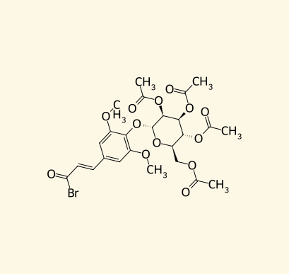 COc1cc(C=CC(=O)Br)cc(OC)c1O[C@H]1O[C@H](COC(C)=O)[C@@H](OC(C)=O)[C@H](OC(C)=O)[C@@H]1OC(C)=O